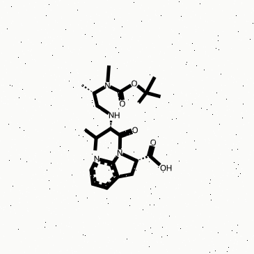 CC(C)[C@H](NC[C@H](C)N(C)C(=O)OC(C)(C)C)C(=O)N1c2ncccc2C[C@H]1C(=O)O